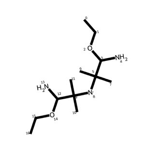 CCOC(N)C(C)(C)[N]C(C)(C)C(N)OCC